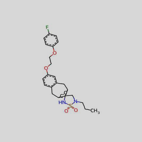 CCCN1CC2(NS1(=O)=O)C1CCC2Cc2cc(OCCOc3ccc(F)cc3)ccc2C1